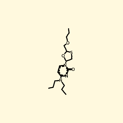 CCCOCC1O[C@H](n2ccc(N(CCC)CCC)nc2=O)CS1